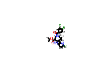 CC(C)OC(=O)C1=CN(C(=O)c2ccc(F)c(F)c2)CC(C)(C)c2c1[nH]c1ccc(Cl)nc21